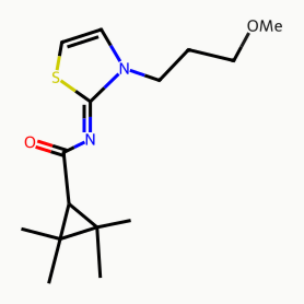 COCCCn1ccsc1=NC(=O)C1C(C)(C)C1(C)C